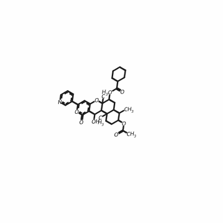 CC(=O)OC1CCC2(C)C(CC(OC(=O)C3CCCCC3)C3(C)Oc4cc(-c5cccnc5)oc(=O)c4C(O)C23)C1C